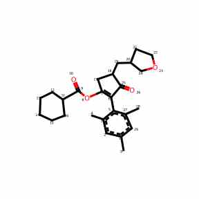 Cc1cc(C)c(C2=C(OC(=O)C3CCCCC3)CC(CC3CCOC3)C2=O)c(C)c1